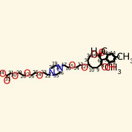 Cc1cc(C)c(/C2=C(\O)CC[C@H](OCCOCCN3CCN(CCOCCOCCOCC(=O)O)CC3)CCOC2=O)c(C)c1